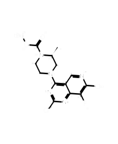 C[C@H]1CN(c2nc(Cl)nc3c(F)c(Cl)ncc23)CCN1C(=O)OC(C)(C)C